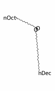 CCCCCCCCC=CCCCCCCCCCCCCCC(=O)OCCCCCCCCCCCCCCCCCCCCCCCCCCCCCCCCCCCCCC